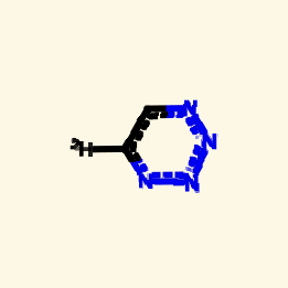 [2H]c1cnnnn1